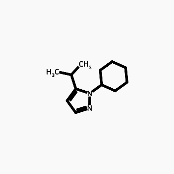 CC(C)c1ccnn1C1CCCCC1